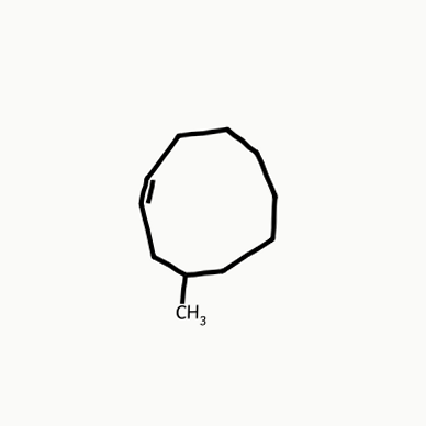 CC1CC=CCCCCCC1